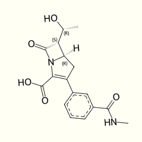 CNC(=O)c1cccc(C2=C(C(=O)O)N3C(=O)[C@H]([C@@H](C)O)[C@H]3C2)c1